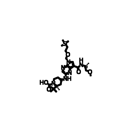 COC[C@@H](C)NC(=O)c1cn(COCC[Si](C)(C)C)c2ncc(N[C@H]3CCN(C(=O)O)[C@](C)(C(C)(C)C)C3)nc12